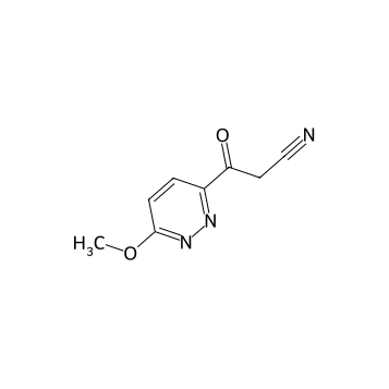 COc1ccc(C(=O)CC#N)nn1